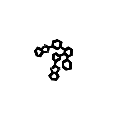 c1ccc(-c2cccc(-c3cccc(-c4nc5ccccc5s4)c3)c2-c2cccc(-c3nc4ccccc4s3)c2)cc1